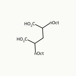 CCCCCCCCC(CC(CCCCCCCC)C(=O)O)C(=O)O